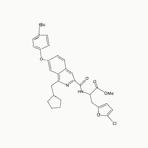 COC(=O)C(Cc1ccc(Cl)o1)NC(=O)c1cc2ccc(Oc3ccc(C(C)(C)C)cc3)cc2c(CC2CCCC2)n1